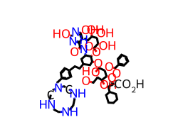 CC1OC(OC2C(NC(=O)c3cc(O)nc(O)n3)CC(CCc3ccc(CN4CCCNCCNCCCNCC4)cc3)CC2OC2OC(CO)C(O)C(O[C@@H](CC3CCCCC3)C(=O)O)C2OC(=O)c2ccccc2)C(O)C(O)C1O